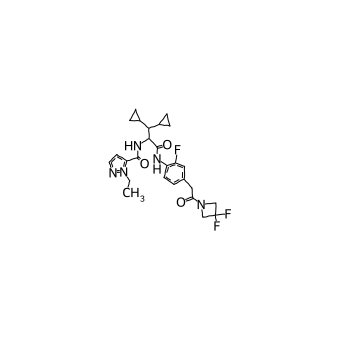 CCn1nccc1C(=O)NC(C(=O)Nc1ccc(CC(=O)N2CC(F)(F)C2)cc1F)C(C1CC1)C1CC1